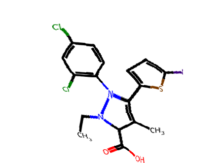 CCN1C(C(=O)O)C(C)=C(c2ccc(I)s2)N1c1ccc(Cl)cc1Cl